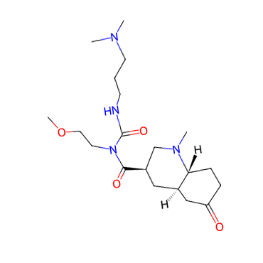 COCCN(C(=O)NCCCN(C)C)C(=O)[C@@H]1C[C@@H]2CC(=O)CC[C@H]2N(C)C1